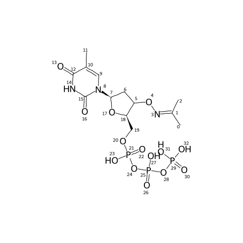 CC(C)=NOC1C[C@H](n2cc(C)c(=O)[nH]c2=O)O[C@@H]1COP(=O)(O)OP(=O)(O)OP(=O)(O)O